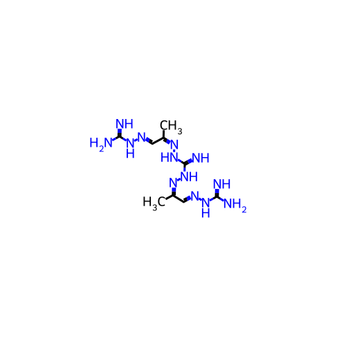 CC(C=NNC(=N)N)=NNC(=N)NN=C(C)C=NNC(=N)N